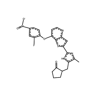 Cc1nc(-c2cc3nccc(Oc4ccc([N+](=O)[O-])cc4F)c3s2)[nH]c1CN1CCCC1=O